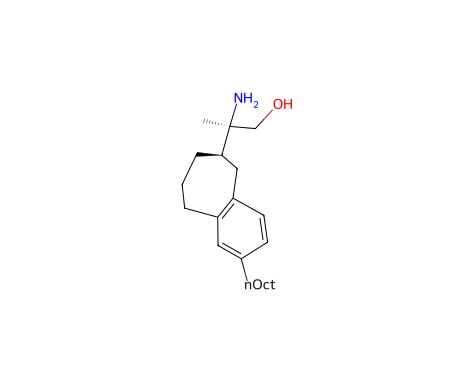 CCCCCCCCc1ccc2c(c1)CCC[C@@H]([C@@](C)(N)CO)C2